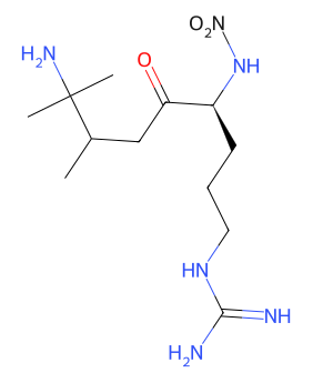 CC(CC(=O)[C@H](CCCNC(=N)N)N[N+](=O)[O-])C(C)(C)N